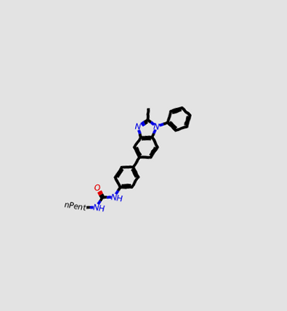 CCCCCNC(=O)Nc1ccc(-c2ccc3c(c2)nc(C)n3-c2ccccc2)cc1